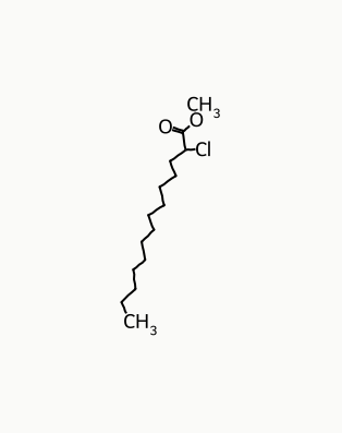 CCCCCCCCCCCCC(Cl)C(=O)OC